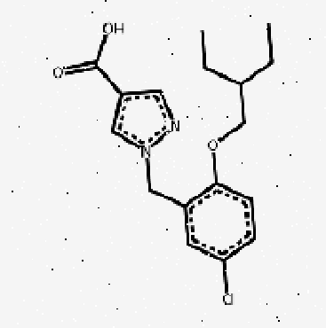 CCC(CC)COc1ccc(Cl)cc1Cn1cc(C(=O)O)cn1